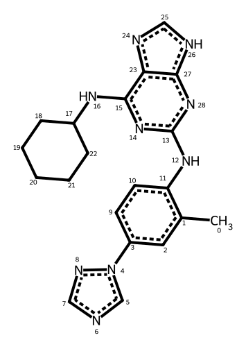 Cc1cc(-n2cncn2)ccc1Nc1nc(NC2CCCCC2)c2nc[nH]c2n1